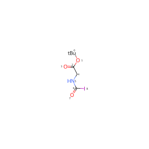 CC(C)(C)OC(=O)CNC(=O)I